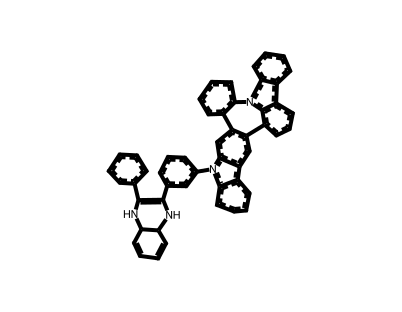 C1=CC2NC(c3ccccc3)=C(c3cccc(-n4c5ccccc5c5cc6c(cc54)-c4ccccc4-n4c5ccccc5c5cccc-6c54)c3)NC2C=C1